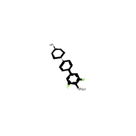 CCCCCc1c(F)cc(C2C=CC([C@H]3CC[C@H](CCC)CC3)=CC2)cc1F